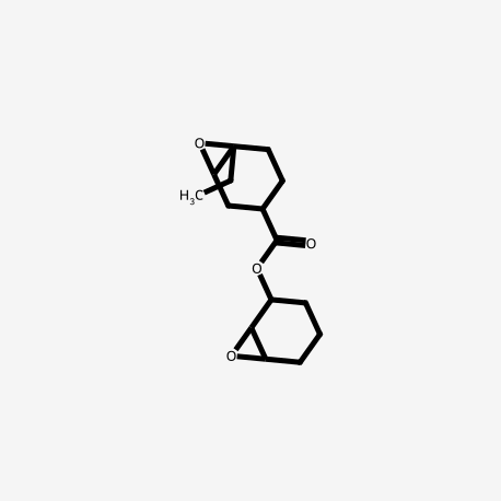 CCC12CCC(C(=O)OC3CCCC4OC34)CC1O2